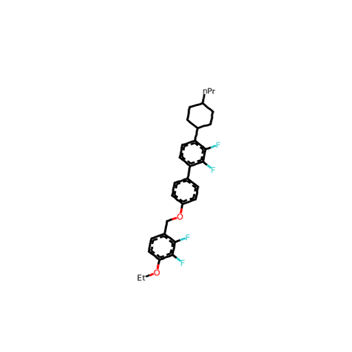 CCCC1CCC(c2ccc(-c3ccc(OCc4ccc(OCC)c(F)c4F)cc3)c(F)c2F)CC1